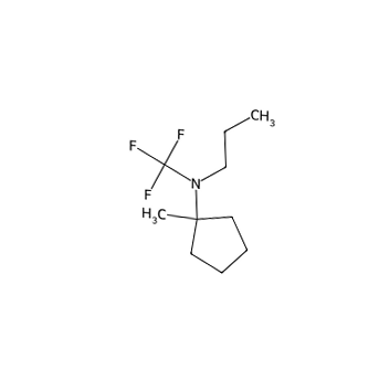 CCCN(C(F)(F)F)C1(C)CCCC1